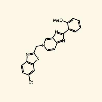 CCc1ccc2nc(Cn3ccc4nc(-c5ccccc5OC)nc-4c3)sc2c1